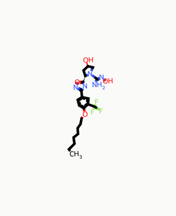 CCCCCCCCOc1ccc(-c2noc([C@@H]3C[C@@H](O)CN3/C(N)=N/O)n2)cc1C(F)(F)F